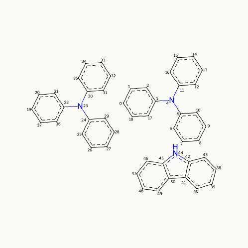 c1ccc(N(c2ccccc2)c2ccccc2)cc1.c1ccc(N(c2ccccc2)c2ccccc2)cc1.c1ccc2c(c1)[nH]c1ccccc12